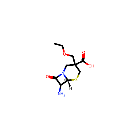 CCOCC1(C(=O)O)CS[C@@H]2C(N)C(=O)N2C1